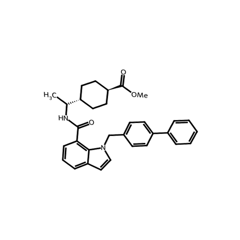 COC(=O)[C@H]1CC[C@H](C(C)NC(=O)c2cccc3ccn(Cc4ccc(-c5ccccc5)cc4)c23)CC1